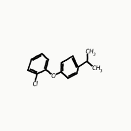 CC(C)c1ccc(Oc2ccccc2Cl)cc1